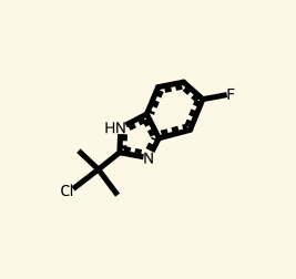 CC(C)(Cl)c1nc2cc(F)ccc2[nH]1